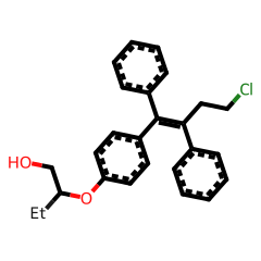 CCC(CO)Oc1ccc(C(=C(CCCl)c2ccccc2)c2ccccc2)cc1